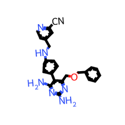 N#Cc1cc(CNc2ccc(-c3c(N)nc(N)nc3COCc3ccccc3)cc2)ccn1